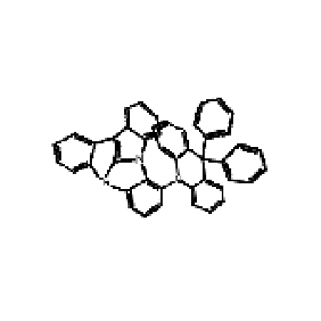 c1ccc(C2(c3ccccc3)c3ccccc3N(c3cccc4c3n3c5ccccc5c5c6ccccc6n4c53)c3ccccc32)cc1